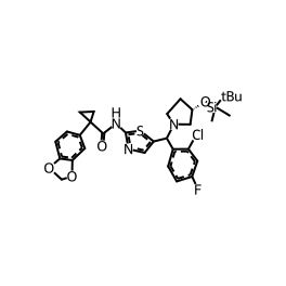 CC(C)(C)[Si](C)(C)O[C@H]1CCN(C(c2cnc(NC(=O)C3(c4ccc5c(c4)OCO5)CC3)s2)c2ccc(F)cc2Cl)C1